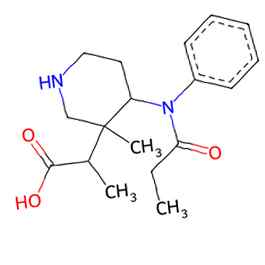 CCC(=O)N(c1ccccc1)C1CCNCC1(C)C(C)C(=O)O